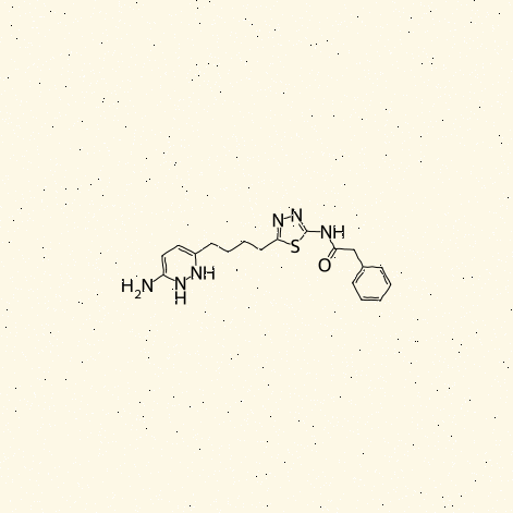 NC1=CC=C(CCCCc2nnc(NC(=O)Cc3ccccc3)s2)NN1